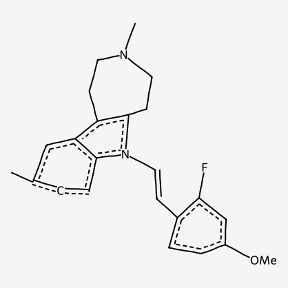 COc1ccc(C=Cn2c3c(c4cc(C)ccc42)CCN(C)CC3)c(F)c1